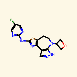 Fc1cnc(Nc2nc3c(s2)CCN(C2COC2)c2[nH]ncc2-3)nc1